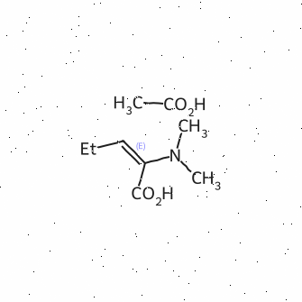 CC(=O)O.CC/C=C(\C(=O)O)N(C)C